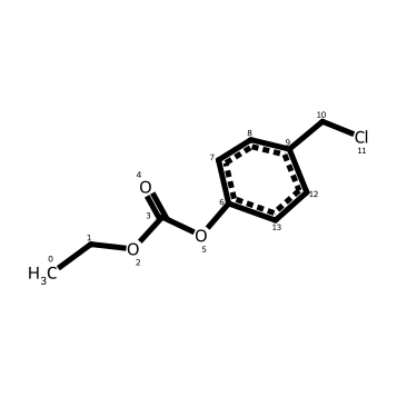 CCOC(=O)Oc1ccc(CCl)cc1